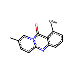 COc1cccc2nc3ccc(C)cn3c(=O)c12